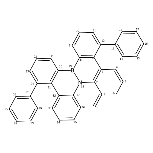 C=CC1=C(/C=C\C)c2c(cccc2-c2ccccc2)B2c3cccc(-c4ccccc4)c3-c3ccccc3N21